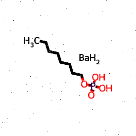 CCCCCCCCOP(=O)(O)O.[BaH2]